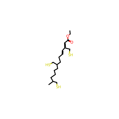 CCOC(=O)C=C(C=CCCC(CS)CCCCC(C)CS)CS